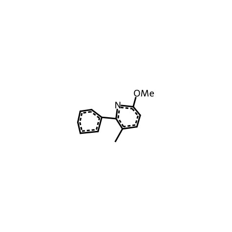 COc1ccc(C)c(-c2ccccc2)n1